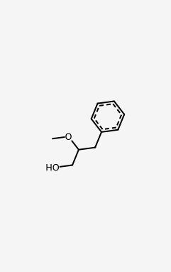 COC(CO)Cc1ccccc1